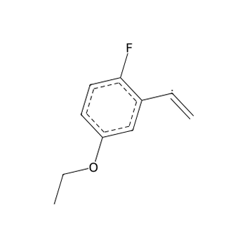 C=[C]c1cc(OCC)ccc1F